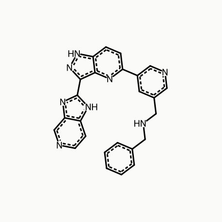 c1ccc(CNCc2cncc(-c3ccc4[nH]nc(-c5nc6cnccc6[nH]5)c4n3)c2)cc1